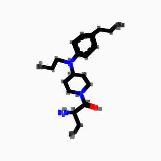 CC(C)CCN(c1ccc(CCC(C)(C)C)cc1)C1CCN(C(=O)C(N)CC(C)C)CC1